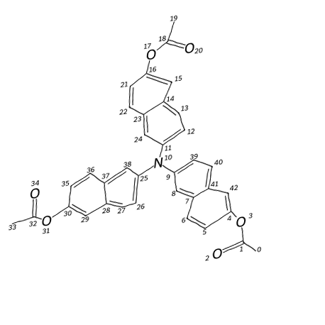 CC(=O)Oc1ccc2cc(N(c3ccc4cc(OC(C)=O)ccc4c3)c3ccc4cc(OC(C)=O)ccc4c3)ccc2c1